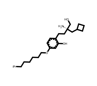 CC(C)CCCCCCOc1ccc(CC[C@@](N)(CO)CC2CCC2)c(O)c1